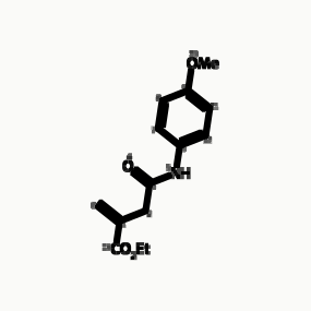 C=C(CC(=O)Nc1ccc(OC)cc1)C(=O)OCC